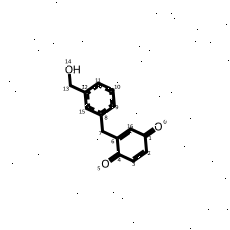 O=C1C=CC(=O)C(Cc2cccc(CO)c2)=C1